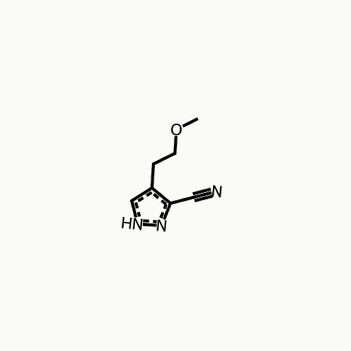 COCCc1c[nH]nc1C#N